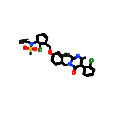 CCCCc1nc(C)c(-c2ccccc2Cl)c(=O)n1Cc1ccc(OCc2cccc(N(C=O)S(C)(=O)=O)c2Cl)cc1